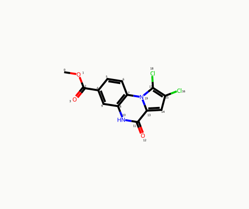 COC(=O)c1ccc2c(c1)[nH]c(=O)c1cc(Cl)c(Cl)n12